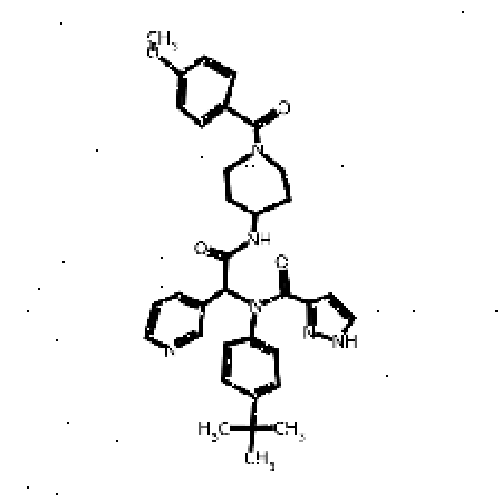 COc1ccc(C(=O)N2CCC(NC(=O)C(c3cccnc3)N(C(=O)c3cc[nH]n3)c3ccc(C(C)(C)C)cc3)CC2)cc1